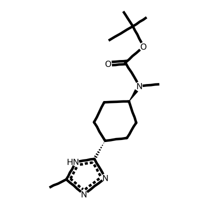 Cc1nnc([C@H]2CC[C@H](N(C)C(=O)OC(C)(C)C)CC2)[nH]1